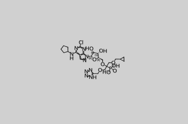 O=P(O)(O)C(COCc1nnn[nH]1)(COCC1CC1)OC[C@H]1O[C@@H](n2ncc3c(NC4CCCC4)nc(Cl)nc32)[C@H](O)[C@@H]1O